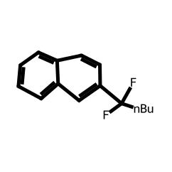 [CH2]CCCC(F)(F)c1ccc2ccccc2c1